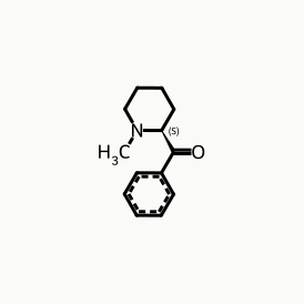 CN1CCCC[C@H]1C(=O)c1ccccc1